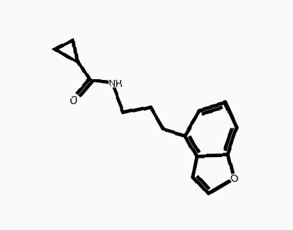 O=C(NCCCc1cccc2occc12)C1CC1